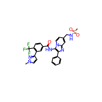 Cn1ccc(-c2cc(C(=O)Nc3c(-c4ccccc4)nc4cc(CNS(C)(=O)=O)ccn34)ccc2C(F)(F)F)n1